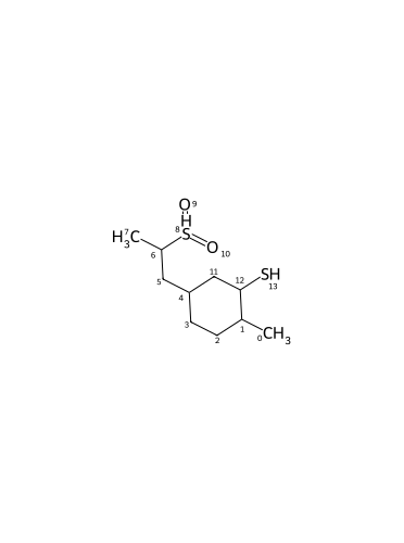 CC1CCC(CC(C)[SH](=O)=O)CC1S